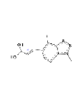 Cc1c(/C=C/C(O)O)ccc2c1nnn2C